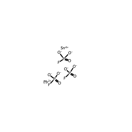 O=P([O-])([O-])F.O=P([O-])([O-])F.O=P([O-])([O-])F.[Pb+2].[Sn+4]